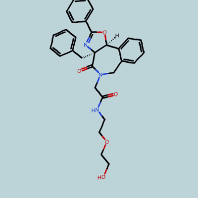 O=C(CN1Cc2ccccc2[C@@H]2OC(c3ccccc3)=N[C@]2(Cc2ccccc2)C1=O)NCCOCCO